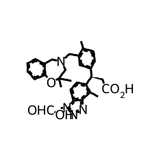 Cc1ccc([C@@H](CC(=O)O)c2ccc3c(nnn3C)c2C)cc1CN1Cc2ccccc2OC(C)(C)C1.O=CO